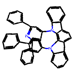 c1ccc(-c2ccc(-n3c4ccccc4c4ccc5c6ccccc6n(-c6cc(-c7ccccc7)nc(-c7ccccc7)c6)c5c43)cc2)cc1